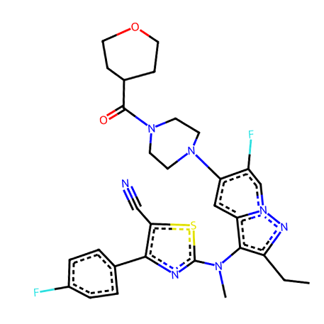 CCc1nn2cc(F)c(N3CCN(C(=O)C4CCOCC4)CC3)cc2c1N(C)c1nc(-c2ccc(F)cc2)c(C#N)s1